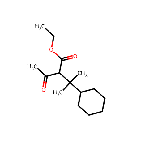 CCOC(=O)C(C(C)=O)C(C)(C)C1CCCCC1